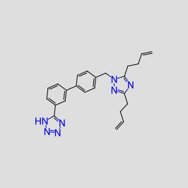 C=CCCc1nc(CCC=C)n(Cc2ccc(-c3cccc(-c4nnn[nH]4)c3)cc2)n1